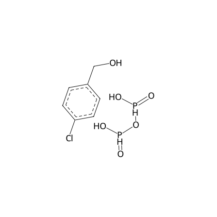 O=[PH](O)O[PH](=O)O.OCc1ccc(Cl)cc1